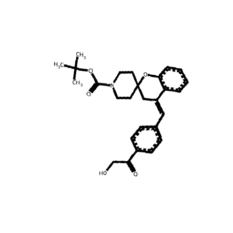 CC(C)(C)OC(=O)N1CCC2(CC1)CC(=Cc1ccc(C(=O)CO)cc1)c1ccccc1O2